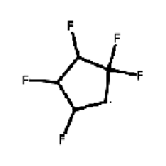 FC1[CH]C(F)(F)C(F)C1F